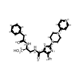 CC(C)c1nc(N2CCN(c3ccncc3)CC2)sc1C(=O)NC[C@H](NC(=O)Cc1ccccc1)C(=O)O